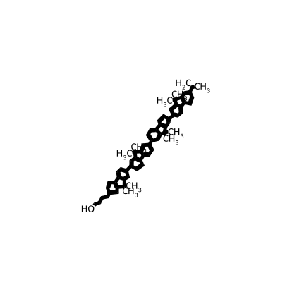 C=C(C)c1ccc2c(c1)C(C)(C)c1cc(-c3ccc4c(c3)C(C)(C)c3cc(-c5ccc6c(c5)C(C)(C)c5cc(-c7ccc8c(c7)C(C)(C)c7cc(CCCCO)ccc7-8)ccc5-6)ccc3-4)ccc1-2